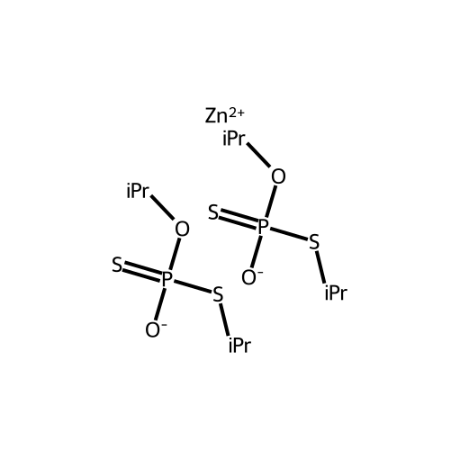 CC(C)OP([O-])(=S)SC(C)C.CC(C)OP([O-])(=S)SC(C)C.[Zn+2]